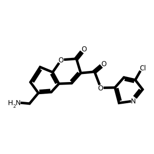 NCc1ccc2oc(=O)c(C(=O)Oc3cncc(Cl)c3)cc2c1